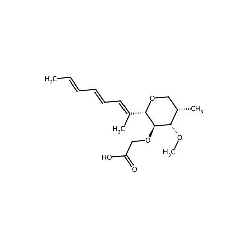 C/C=C/C=C/C=C(\C)[C@@H]1OC[C@H](C)[C@H](OC)[C@H]1OCC(=O)O